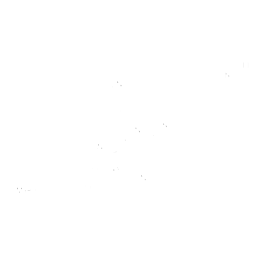 CCOc1cc(OC)ccc1S(=O)(=O)N1C(=O)C(NC(=O)N2CCC(C3CCN(C)CC3)CC2)(c2cccnc2OCC)c2cc(C#N)ccc21